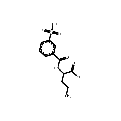 CCCC(NC(=O)c1cccc(S(=O)(=O)O)c1)C(=O)O